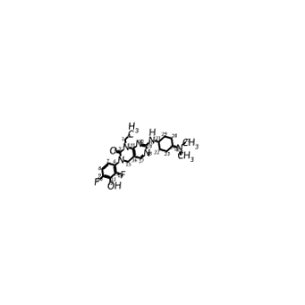 CCN1C(=O)N(c2ccc(F)c(O)c2F)Cc2cnc(NC3CCC(N(C)C)CC3)nc21